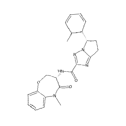 CC1C=CC=CC1[C@@H]1CCc2nc(C(=O)N[C@H]3COc4ccccc4N(C)C3=O)nn21